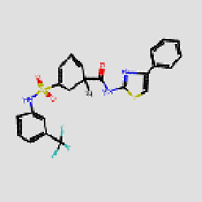 [2H]C1(C(=O)Nc2nc(-c3ccccc3)cs2)C=CC=C(S(=O)(=O)Nc2cccc(C(F)(F)F)c2)C1